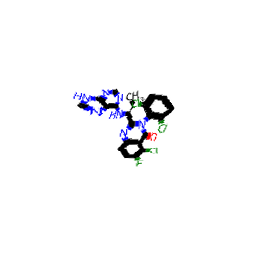 CC[C@@H](Nc1ncnc2[nH]cnc12)c1nc2ccc(F)c(Cl)c2c(=O)n1-c1c(Cl)cccc1Cl